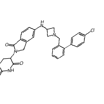 O=C1CCC(N2Cc3cc(NC4CN(Cc5ccccc5-c5ccc(Cl)cc5)C4)ccc3C2=O)C(=O)N1